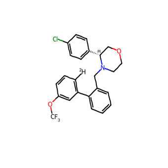 [2H]c1ccc(OC(F)(F)F)cc1-c1ccccc1CN1CCOC[C@H]1c1ccc(Cl)cc1